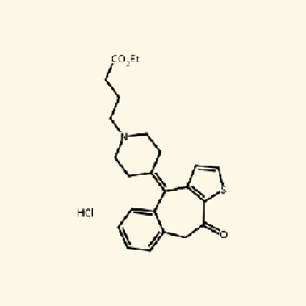 CCOC(=O)CCCN1CCC(=C2c3ccccc3CC(=O)c3sccc32)CC1.Cl